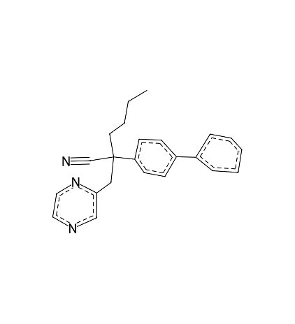 CCCCC(C#N)(Cc1cnccn1)c1ccc(-c2ccccc2)cc1